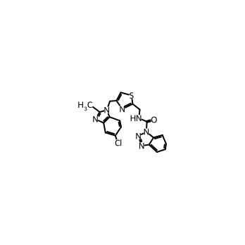 Cc1nc2cc(Cl)ccc2n1Cc1csc(CNC(=O)n2nnc3ccccc32)n1